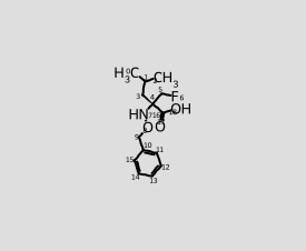 CC(C)C[C@](CF)(NOCc1ccccc1)C(=O)O